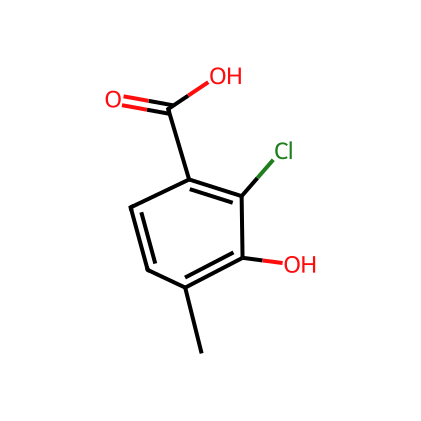 Cc1ccc(C(=O)O)c(Cl)c1O